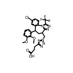 COc1cccc(C2CC(Cn3nnc(CCC(=O)O)n3)c3nnc(C(F)(F)F)n3-c3ccc(Cl)cc32)c1OC